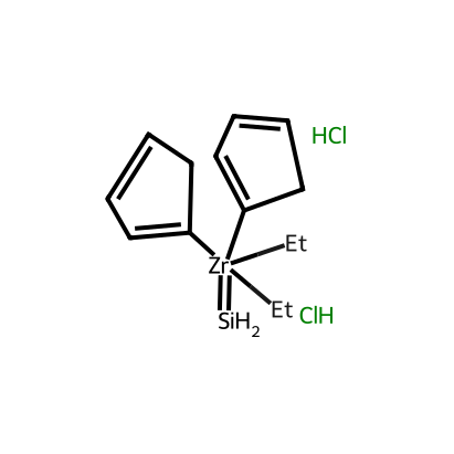 C[CH2][Zr](=[SiH2])([CH2]C)([C]1=CC=CC1)[C]1=CC=CC1.Cl.Cl